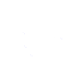 Cc1ccn(C)c1-c1cc(-c2c(C)noc2C)cc2[nH]cnc12